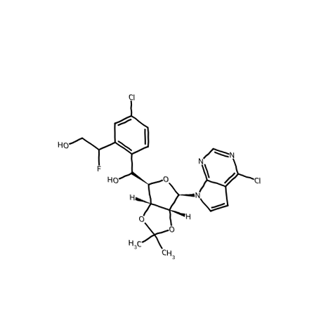 CC1(C)O[C@@H]2[C@H](O1)[C@@H](C(O)c1ccc(Cl)cc1C(F)CO)O[C@H]2n1ccc2c(Cl)ncnc21